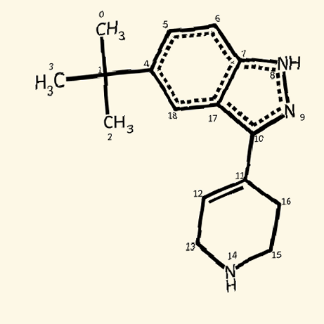 CC(C)(C)c1ccc2[nH]nc(C3=CCNCC3)c2c1